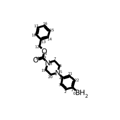 Bc1ccc(N2CCN(C(=O)OCc3ccccc3)CC2)cc1